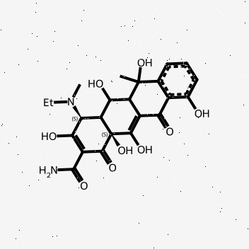 CCN(C)[C@@H]1C(O)=C(C(N)=O)C(=O)[C@@]2(O)C(O)=C3C(=O)c4c(O)cccc4C(C)(O)C3C(O)C12